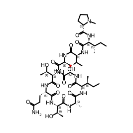 CC[C@H](C)[C@H](NC(=O)[C@H](C)NC(=O)[C@@H](NC(=O)[C@H](CCC(N)=O)NC(=O)[C@@H](NC(=O)[C@H](CO)NC(=O)[C@@H](NC(=O)[C@@H](NC(=O)[C@@H]1CCCN1C)[C@@H](C)CC)C(C)C)[C@@H](C)O)[C@@H](C)O)C(=O)N[C@@H](C)C(=O)O